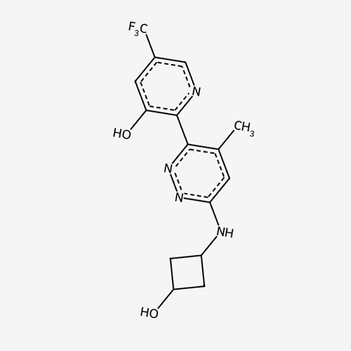 Cc1cc(NC2CC(O)C2)nnc1-c1ncc(C(F)(F)F)cc1O